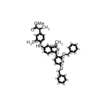 COC(=O)C(C)c1ccc(Nc2ccc3c(-c4ccc(OCc5ccccc5)nc4OCc4ccccc4)nn(C)c3c2)c(C)c1